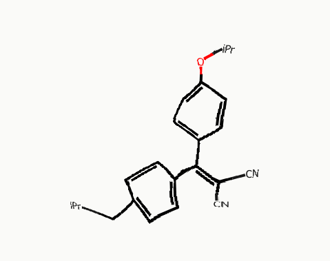 CC(C)Cc1ccc(C(=C(C#N)C#N)c2ccc(OC(C)C)cc2)cc1